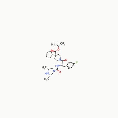 CC(C)OC(=O)C1(C2CCCCC2)CCN(C(=O)[C@@H](Cc2ccc(F)cc2)NC(=O)N2C[C@@H](C)N[C@@H](C)C2)CC1